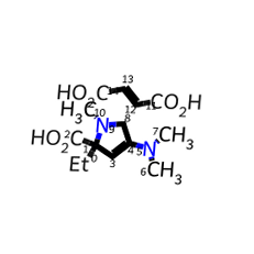 CCC1(C(=O)O)C=C(N(C)C)CN1C.O=C(O)C=CC(=O)O